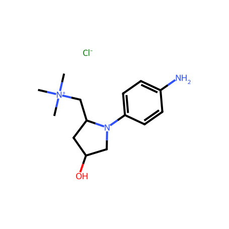 C[N+](C)(C)CC1CC(O)CN1c1ccc(N)cc1.[Cl-]